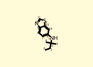 CCC(C)(C)Nc1ccc2ncsc2c1